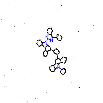 c1ccc(-c2nc(-n3c4ccccc4c4c5ccccc5c(-c5cccc(-c6cc7c8ccccc8n(-c8ccccc8)c7c7ccccc67)c5)cc43)nc3ccccc23)cc1